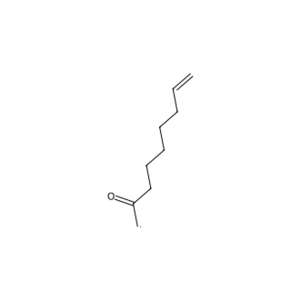 [CH2]C(=O)CCCCCC=C